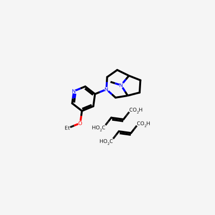 CCOc1cncc(N2CCC3CCC(C2)N3C)c1.O=C(O)C=CC(=O)O.O=C(O)C=CC(=O)O